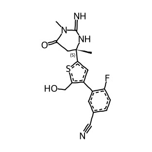 CN1C(=N)N[C@](C)(c2cc(-c3cc(C#N)ccc3F)c(CO)s2)CC1=O